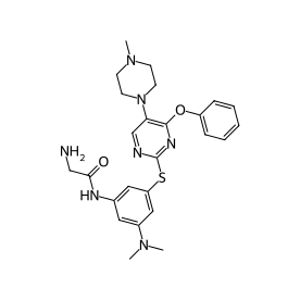 CN1CCN(c2cnc(Sc3cc(NC(=O)CN)cc(N(C)C)c3)nc2Oc2ccccc2)CC1